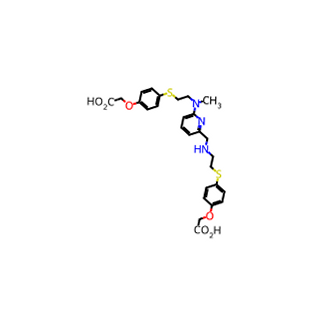 CN(CCSc1ccc(OCC(=O)O)cc1)c1cccc(CNCCSc2ccc(OCC(=O)O)cc2)n1